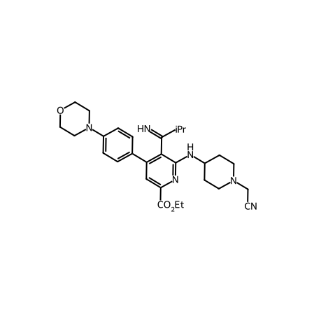 CCOC(=O)c1cc(-c2ccc(N3CCOCC3)cc2)c(C(=N)C(C)C)c(NC2CCN(CC#N)CC2)n1